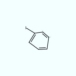 Ic1[c][c]ccc1